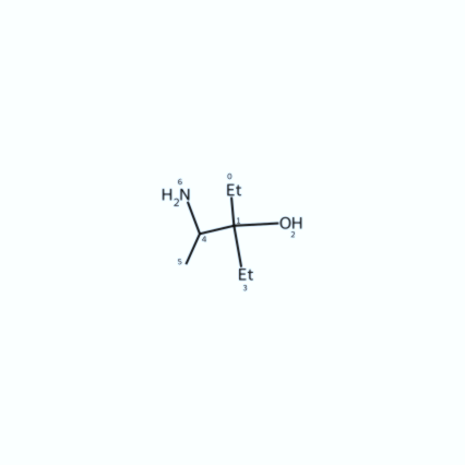 CCC(O)(CC)C(C)N